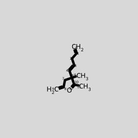 C=CCC=CC(C)(CC=C)C(C)=O